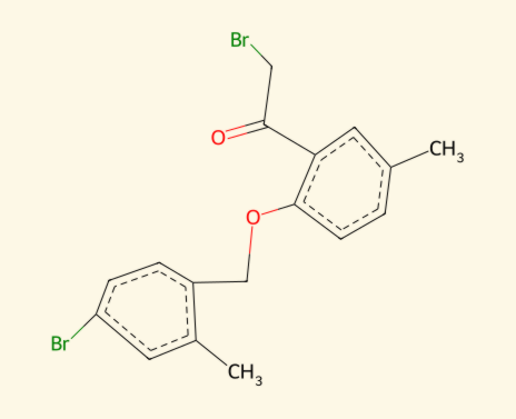 Cc1ccc(OCc2ccc(Br)cc2C)c(C(=O)CBr)c1